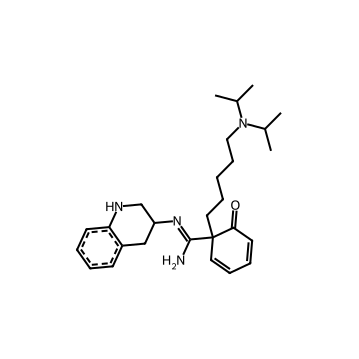 CC(C)N(CCCCCC1(C(N)=NC2CNc3ccccc3C2)C=CC=CC1=O)C(C)C